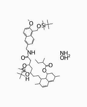 CCC(C)C(=O)OC1CC(C)C=C2C=CC(C)C(CCC(O)CC(CC(=O)NCc3ccc4c(CO[Si](C)(C)C(C)(C)C)c(OC)ccc4c3)O[Si](C)(C)C(C)(C)C)C21.NO